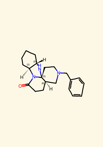 O=C1CC[C@@H]2CN(Cc3ccccc3)CC[C@@]23N[C@H]2CCCC[C@@H]2N13